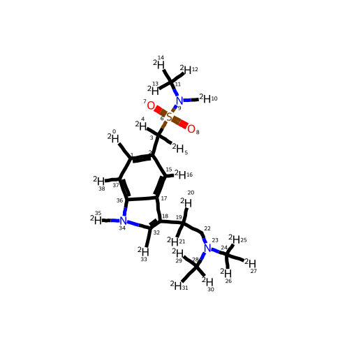 [2H]c1c(C([2H])([2H])S(=O)(=O)N([2H])C([2H])([2H])[2H])c([2H])c2c(C([2H])([2H])CN(C([2H])([2H])[2H])C([2H])([2H])[2H])c([2H])n([2H])c2c1[2H]